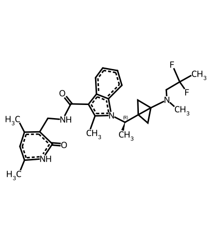 Cc1cc(C)c(CNC(=O)c2c(C)n([C@H](C)C34CC3(N(C)CC(C)(F)F)C4)c3ccccc23)c(=O)[nH]1